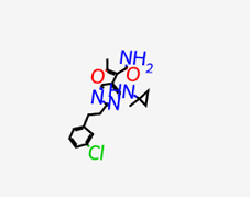 Cc1oc2nc(CCc3cccc(Cl)c3)nc(NC3(C)CC3)c2c1C(N)=O